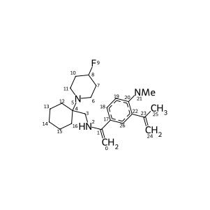 C=C(NCC1(N2CCC(F)CC2)CCCCC1)c1ccc(NC)c(C(=C)C)c1